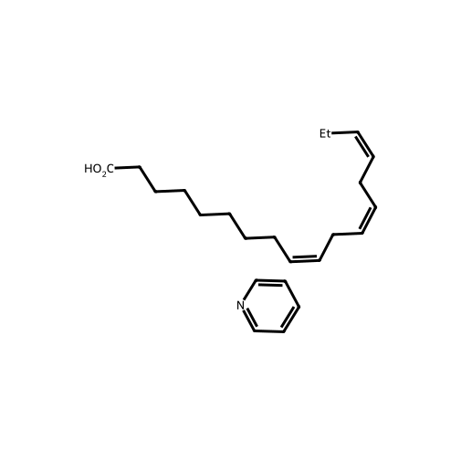 CC/C=C\C/C=C\C/C=C\CCCCCCCC(=O)O.c1ccncc1